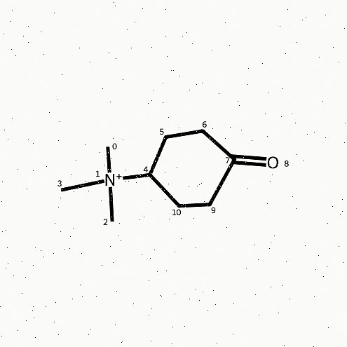 C[N+](C)(C)C1CCC(=O)CC1